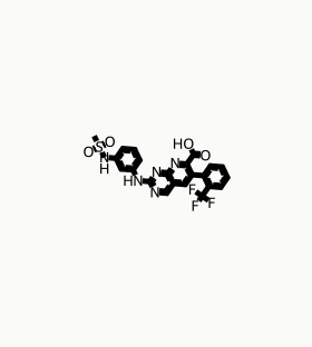 CS(=O)(=O)Nc1cccc(Nc2ncc3cc(-c4ccccc4C(F)(F)F)c(C(=O)O)nc3n2)c1